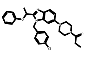 CCC(=O)N1CCN(c2ccc3nc(C(C)Oc4ccccc4)n(Cc4ccc(Cl)cc4)c3c2)CC1